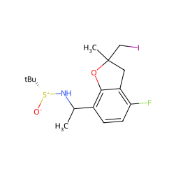 CC(N[S@+]([O-])C(C)(C)C)c1ccc(F)c2c1OC(C)(CI)C2